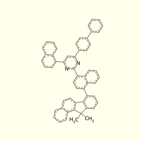 CC1(C)c2cccc(-c3ccc(-c4nc(-c5ccc(-c6ccccc6)cc5)cc(-c5cccc6ccccc56)n4)c4ccccc34)c2-c2ccc3ccccc3c21